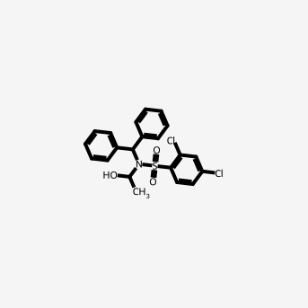 C[C](O)N(C(c1ccccc1)c1ccccc1)S(=O)(=O)c1ccc(Cl)cc1Cl